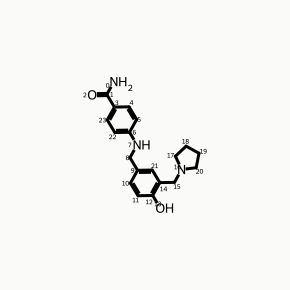 NC(=O)c1ccc(NCc2ccc(O)c(CN3CCCC3)c2)cc1